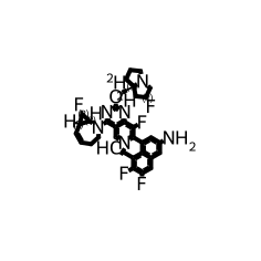 [2H]C([2H])(Oc1nc(N2CCC=C[C@@H]3[C@@H](F)[C@@H]32)c2cnc(-c3cc(N)cc4cc(F)c(F)c(C#C)c34)c(F)c2n1)[C@@]12CCCN1C[C@H](F)C2